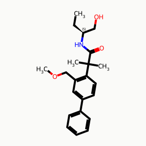 CC[C@@H](CO)NC(=O)C(C)(C)c1ccc(-c2ccccc2)cc1COC